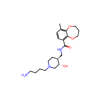 Cc1ccc(C(=O)NC[C@@H]2CCN(CCCCN)C[C@H]2O)c2c1OCCCO2